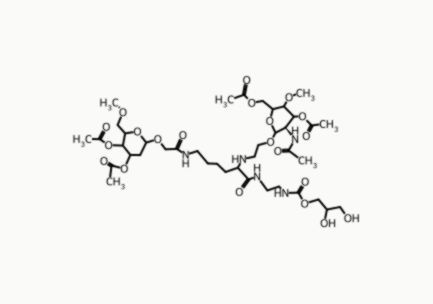 COCC1OC(OCC(=O)NCCCCC(NCCOC2OC(COC(C)=O)C(OC)C(OC(C)=O)[C@H]2NC(C)=O)C(=O)NCCNC(=O)OCC(O)CO)CC(OC(C)=O)C1OC(C)=O